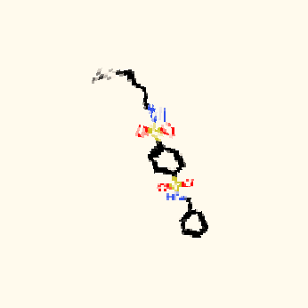 CC(=O)CCCCNS(=O)(=O)c1ccc(S(=O)(=O)NCc2ccccc2)cc1